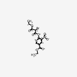 CCOC(=O)c1cnc(OC(=O)C(Br)C(=O)OCC)c([N+](=O)[O-])c1